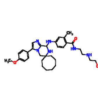 COc1ccc(-c2cnc3n2CC2(CCCCCCC2)NC3Nc2ccc(C(=O)NCCNCCO)c(C)c2)cc1